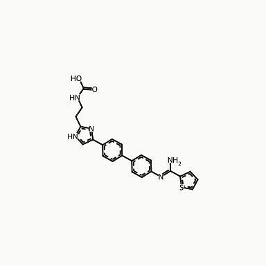 N/C(=N\c1ccc(-c2ccc(-c3c[nH]c(CCNC(=O)O)n3)cc2)cc1)c1cccs1